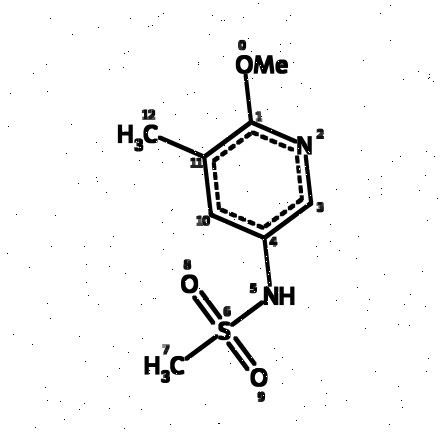 COc1ncc(NS(C)(=O)=O)cc1C